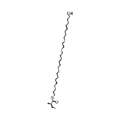 CC=C(C)C(=O)OCCCCCCCCCCCCCCCCCCCCCCCCCCCO